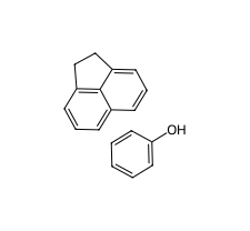 Oc1ccccc1.c1cc2c3c(cccc3c1)CC2